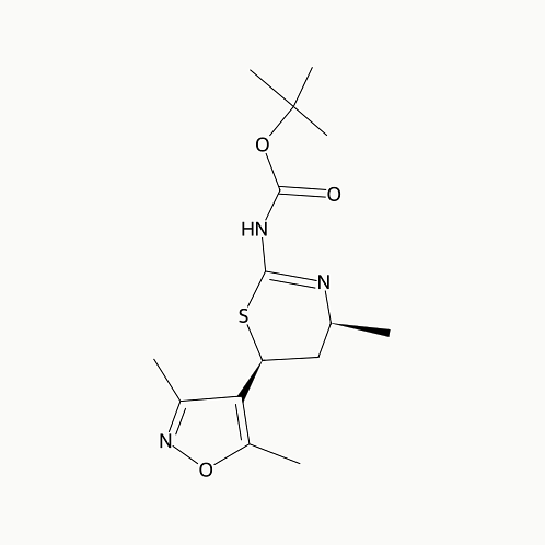 Cc1noc(C)c1[C@@H]1C[C@H](C)N=C(NC(=O)OC(C)(C)C)S1